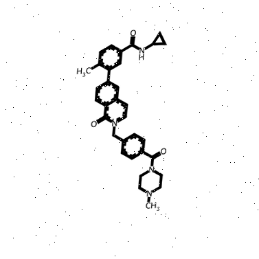 Cc1ccc(C(=O)NC2CC2)cc1-c1ccc2c(=O)n(Cc3ccc(C(=O)N4CCN(C)CC4)cc3)ccc2c1